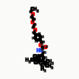 CCOCCOCCOCc1ccc(COC(=O)NCc2cc(C(C)(C)C)cc(C(C)(C)C)c2)cc1